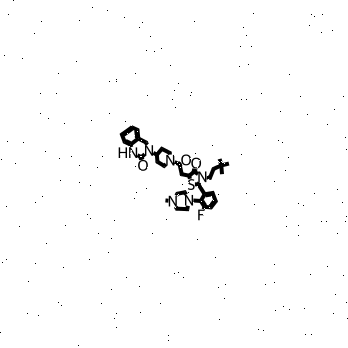 CN1CCN(c2c(F)cccc2C2SC(CC(=O)N3CCC(N4Cc5ccccc5NC4=O)CC3)C(=O)N2CCC(C)(C)C)CC1